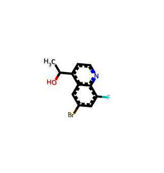 CC(O)c1ccnc2c(F)cc(Br)cc12